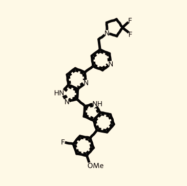 COc1cc(F)cc(-c2cccc3[nH]c(-c4n[nH]c5ccc(-c6cncc(CN7CCC(F)(F)C7)c6)nc45)cc23)c1